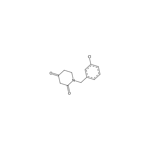 O=C1CCN(Cc2cccc(Cl)c2)C(=O)C1